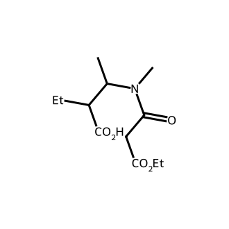 CCOC(=O)CC(=O)N(C)C(C)C(CC)C(=O)O